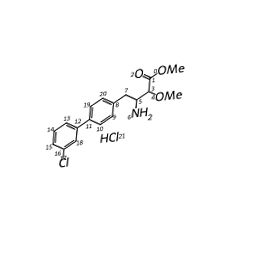 COC(=O)C(OC)C(N)Cc1ccc(-c2cccc(Cl)c2)cc1.Cl